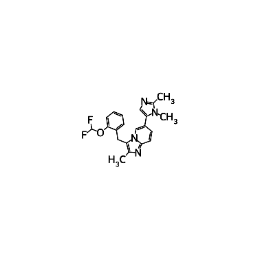 Cc1nc2ccc(-c3cnc(C)n3C)cn2c1Cc1ccccc1OC(F)F